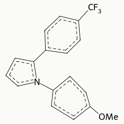 COc1ccc(-n2cccc2-c2ccc(C(F)(F)F)cc2)cc1